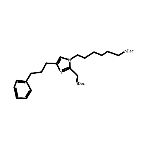 CCCCCCCCCCCCCCCCn1cc(CCCc2ccccc2)nc1CCCCCCCCCCC